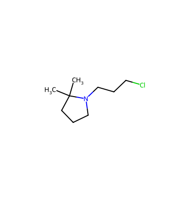 CC1(C)CCCN1CCCCl